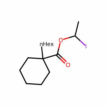 CCCCCCC1(C(=O)OC(C)I)CCCCC1